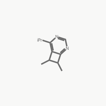 CC(C)c1ncnc2c1C(C)C2C